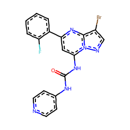 O=C(Nc1ccncc1)Nc1cc(-c2ccccc2F)nc2c(Br)cnn12